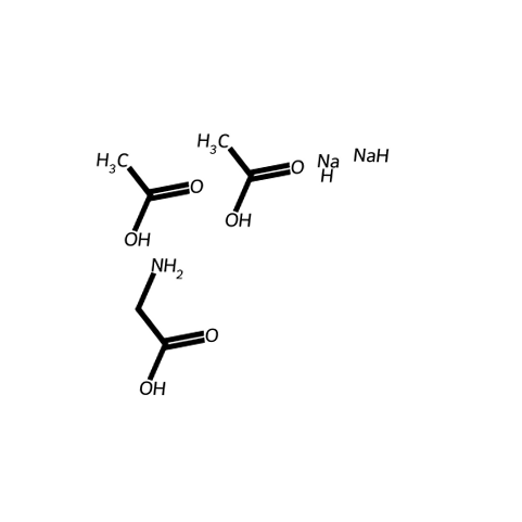 CC(=O)O.CC(=O)O.NCC(=O)O.[NaH].[NaH]